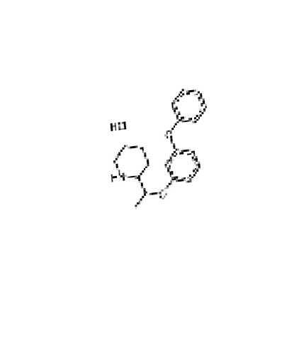 CC(Oc1cccc(Oc2ccccc2)c1)C1CCCCN1.Cl